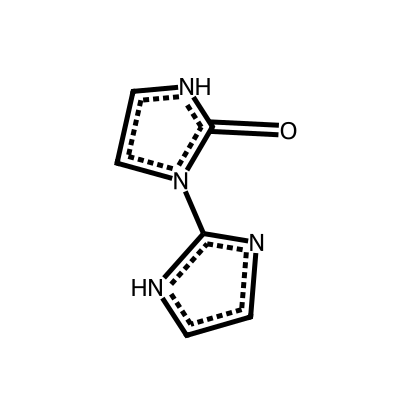 O=c1[nH]ccn1-c1ncc[nH]1